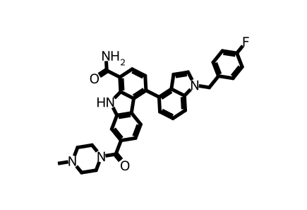 CN1CCN(C(=O)c2ccc3c(c2)[nH]c2c(C(N)=O)ccc(-c4cccc5c4ccn5Cc4ccc(F)cc4)c23)CC1